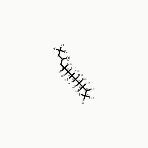 OC([CH]C(F)(F)F)CC(F)(F)C(F)(F)C(F)(F)C(F)(F)C(F)(F)C(F)(F)C(F)C(F)(F)F